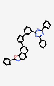 c1ccc(-c2nc(-c3ccccc3)nc(-c3cccc(-c4cccc(-c5ccc6ccc7nc(-c8ccccc8)oc7c6c5)c4)c3)n2)cc1